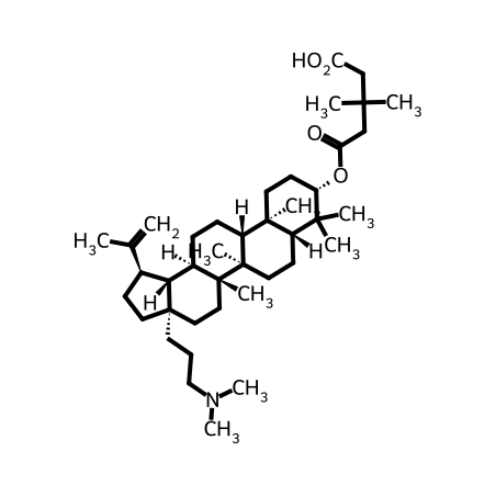 C=C(C)[C@@H]1CC[C@]2(CCCN(C)C)CC[C@]3(C)[C@H](CC[C@@H]4[C@@]5(C)CC[C@H](OC(=O)CC(C)(C)CC(=O)O)C(C)(C)[C@@H]5CC[C@]43C)[C@@H]12